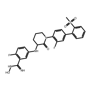 CS(=O)(=O)c1ccccc1-c1ccc(N2CCCC(Nc3ccc(F)c(C(=N)NO)c3)C2=O)c(F)c1